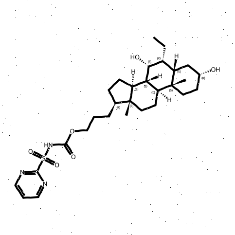 CC[C@H]1[C@@H](O)[C@@H]2[C@H](CC[C@]3(C)[C@@H](CCCOC(=O)NS(=O)(=O)c4ncccn4)CC[C@@H]23)[C@@]2(C)CC[C@@H](O)C[C@@H]12